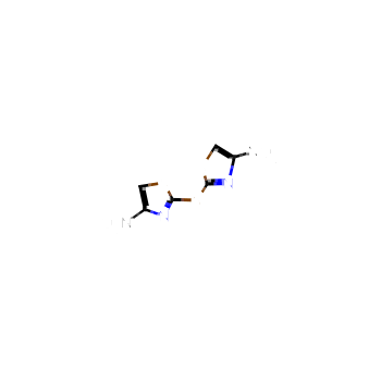 O=[N+]([O-])c1csc(Sc2nc([N+](=O)[O-])cs2)n1